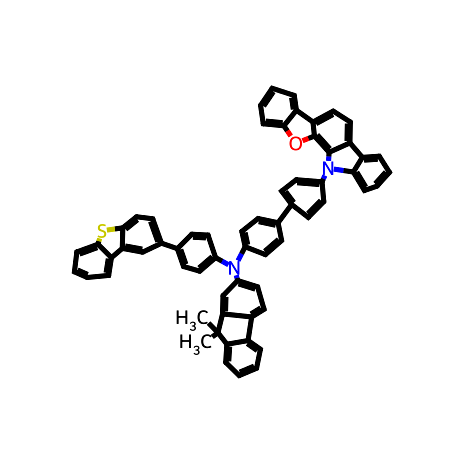 CC1(C)c2ccccc2-c2ccc(N(c3ccc(-c4ccc(-n5c6ccccc6c6ccc7c8ccccc8oc7c65)cc4)cc3)c3ccc(-c4ccc5sc6ccccc6c5c4)cc3)cc21